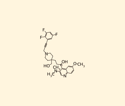 COc1ccc2ncc(N(C)C)c([C@H](O)CCC3(CO)CCN(CC#Cc4cc(F)cc(F)c4F)CC3)c2c1